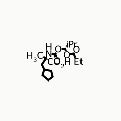 CCC(=O)O[C@H](OC(=O)N[C@@](C)(CC1CCCC1)C(=O)O)C(C)C